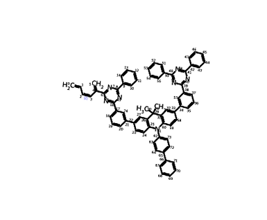 C=C/C=C\C(=C)c1nc(-c2ccccc2)nc(-c2cccc(-c3ccc4c(c3)C(C)(C)c3cc(-c5cccc(-c6nc(-c7ccccc7)nc(-c7ccccc7)n6)c5)ccc3N4c3ccc(-c4ccccc4)cc3)c2)n1